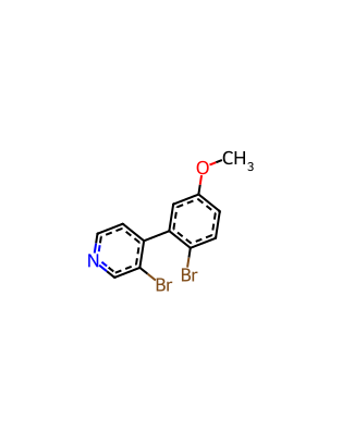 COc1ccc(Br)c(-c2ccncc2Br)c1